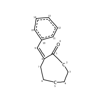 O=C1CCCCCCC1=Cc1ccccc1